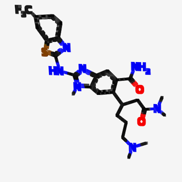 CN(C)CCCC(CC(=O)N(C)C)c1cc2c(cc1C(N)=O)nc(Nc1nc3ccc(C(F)(F)F)cc3s1)n2C